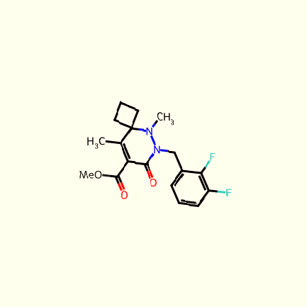 COC(=O)C1=C(C)C2(CCC2)N(C)N(Cc2cccc(F)c2F)C1=O